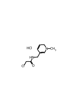 CN1C=C(CNC(=O)CCl)C=CC1.Cl